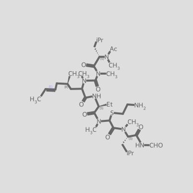 C/C=C/C[C@@H](C)CC(C(=O)N[C@@H](CC)C(=O)N(C)C(SCCN)C(=O)N(C)[C@@H](CC(C)C)C(=O)NC=O)N(C)C(=O)N(C)C(=O)[C@H](CC(C)C)N(C)C(C)=O